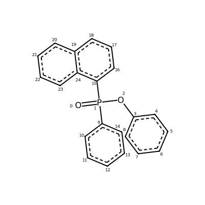 O=P(Oc1ccccc1)(c1ccccc1)c1cccc2ccccc12